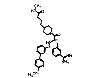 CNC(=O)CCCC1CCN(C(=O)[C@H](Cc2cccc(C(=N)N)c2)NSc2cccc(-c3ccc(OC)nc3)c2)CC1